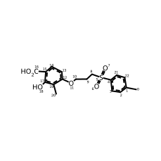 Cc1ccc(S(=O)(=O)CCCOc2ccc(C(=O)O)c(O)c2C)cc1